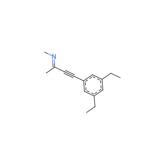 CCc1cc(C#C/C(C)=N/C)cc(CC)c1